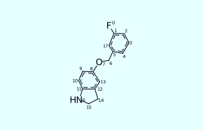 Fc1cccc(COc2ccc3c(c2)CCN3)c1